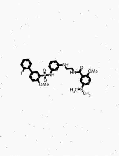 COc1ccc(N(C)C)cc1C(=O)NCCNc1cccc(NS(=O)(=O)c2cc(-c3ccccc3F)ccc2OC)c1